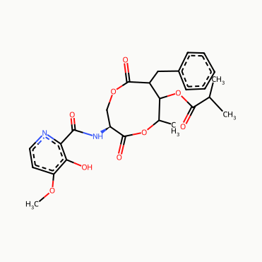 COc1ccnc(C(=O)N[C@H]2COC(=O)C(Cc3ccccc3)C(OC(=O)C(C)C)C(C)OC2=O)c1O